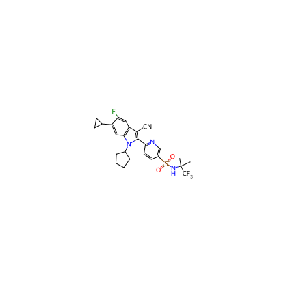 CC(C)(NS(=O)(=O)c1ccc(-c2c(C#N)c3cc(F)c(C4CC4)cc3n2C2CCCC2)nc1)C(F)(F)F